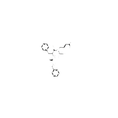 O=CC(=O)C=CCN(CI)C(=O)C(Cc1ccccc1)NC(=O)OCc1ccccc1